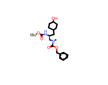 CN(C[C@H](CC1CCC(O)CC1)NC(=O)OC(C)(C)C)C(=O)OCc1ccccc1